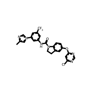 Cc1cn(-c2cc(NC(=O)N3CCc4cc(Oc5cc(Cl)ncn5)ccc43)cc(C(F)(F)F)c2)cn1